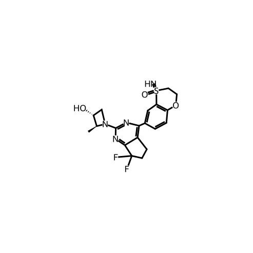 C[C@H]1[C@H](O)CN1c1nc(-c2ccc3c(c2)S(=N)(=O)CCO3)c2c(n1)C(F)(F)CC2